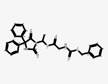 CC(OC(=O)CNC(=O)OCc1ccccc1)N1C(=O)NC(c2ccccc2)(c2ccccc2)C1=O